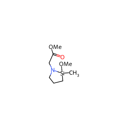 COC(=O)CN1CCC[Si]1(C)OC